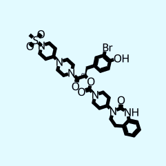 CS(=O)(=O)N1CCC(N2CCN(C(=O)[C@@H](Cc3ccc(O)c(Br)c3)OC(=O)N3CCC(N4CCc5ccccc5NC4=O)CC3)CC2)CC1